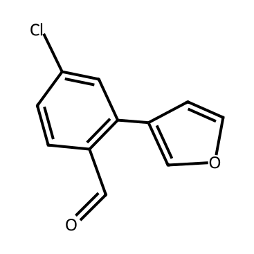 O=Cc1ccc(Cl)cc1-c1ccoc1